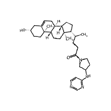 CC(CCC(=O)N1CCC(Nc2ccncn2)C1)[C@H]1CC[C@H]2[C@@H]3CC=C4C[C@@H](O)CC[C@]4(C)[C@H]3CC[C@]12C